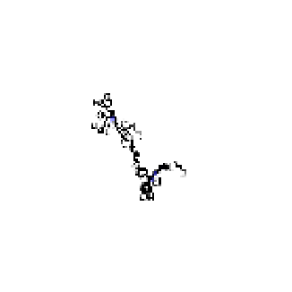 C=C\C=C/C=C/C(CC)=C(/c1ccc(O)cc1)c1ccc(OCCCCCN2CC(C)N(C(=C)/C=C3/CN(C4CCC(=O)NC4)C(=O)C3=C)CC2C)cc1